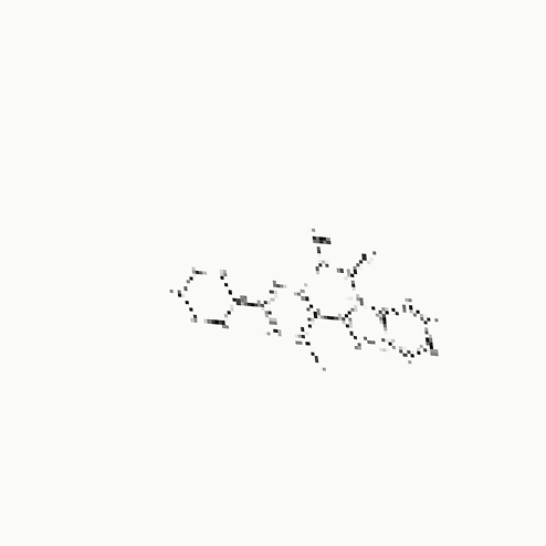 CC(C)(C)OC(=O)n1c(-c2ccc(N3CCOCC3)nc2F)cc2ccccc21